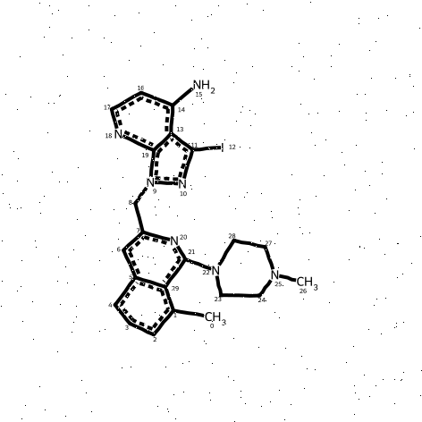 Cc1cccc2cc(Cn3nc(I)c4c(N)ccnc43)nc(N3CCN(C)CC3)c12